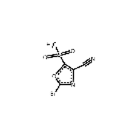 CS(=O)(=O)c1oc(Br)nc1C#N